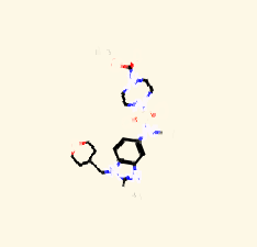 CC(C)OC(=O)N1CCN(S(=O)(=O)N(C)c2ccc3c(c2)nc(C(C)(C)C)n3CC2CCOCC2)CC1